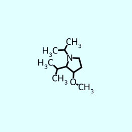 COC1CCN(C(C)C)C1C(C)C